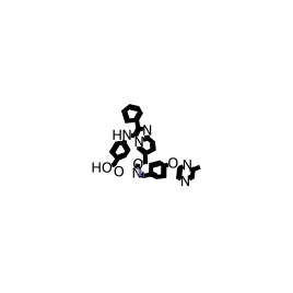 Cc1cncc(Oc2ccc(/C=N\OCc3ccc4nc(-c5ccccc5)c(Nc5ccc(C(=O)O)cc5)n4c3)cc2)n1